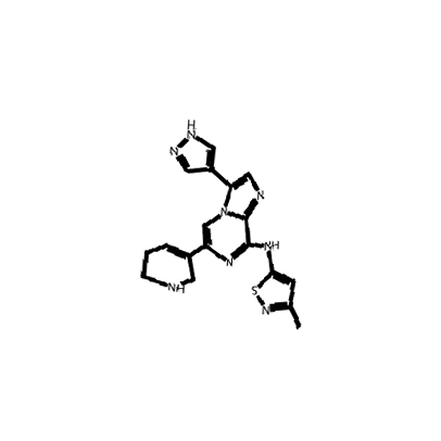 Cc1cc(Nc2nc(C3=CCCNC3)cn3c(-c4cn[nH]c4)cnc23)sn1